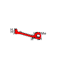 CO[C@H]1C[C@@H]2CC[C@@H](C)[C@@](O)(O2)C(=O)C(=O)N2CCCC[C@H]2C(=O)O[C@H]([C@H](N)C[C@@H]2CC[C@@H](OC(=O)NCCOCCOCCOCCOCCOCCOCCOCCOCCC(=O)N3CCc4cc(Cn5nc(-c6ccc7oc(N)nc7c6)c6c(N)ncnc65)ccc4C3)[C@H](OC)C2)C[C@@H](O)[C@H](C)/C=C(\C)[C@@H](O)CC(=O)[C@H](C)C[C@H](C)/C=C/C=C/C=C/1C